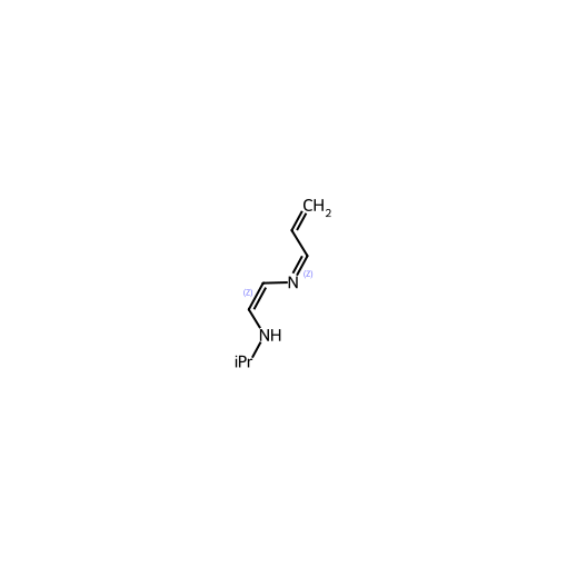 C=C/C=N\C=C/NC(C)C